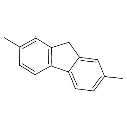 Cc1[c]c2c(cc1)-c1ccc(C)cc1C2